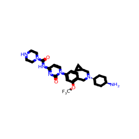 N[C@H]1CC[C@H](N(Cc2ccc(-n3ccc(NC(=O)N4CCNCC4)nc3=O)cc2OC(F)(F)F)CC2CC2)CC1